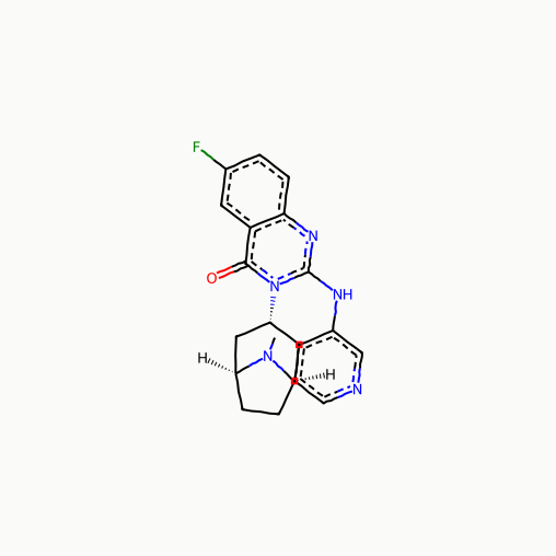 CN1[C@@H]2CC[C@H]1C[C@H](n1c(Nc3cccnc3)nc3ccc(F)cc3c1=O)C2